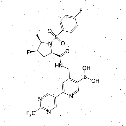 C[C@@H]1[C@H](F)C[C@H](C(=O)NCc2cc(-c3cnc(C(F)(F)F)nc3)ncc2B(O)O)N1S(=O)(=O)c1ccc(F)cc1